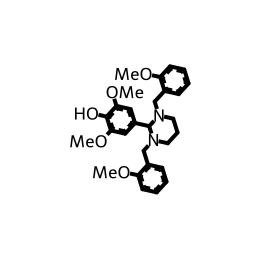 COc1ccccc1CN1CCCN(Cc2ccccc2OC)C1c1cc(OC)c(O)c(OC)c1